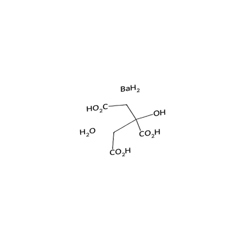 O.O=C(O)CC(O)(CC(=O)O)C(=O)O.[BaH2]